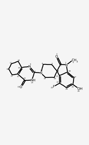 CN1C(=O)C2(CCN(c3nc4c(c(=O)[nH]3)CCCC4)CC2)c2c(F)cc(O)cc21